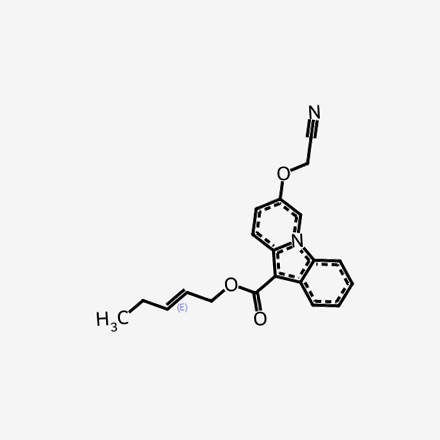 CC/C=C/COC(=O)c1c2ccccc2n2cc(OCC#N)ccc12